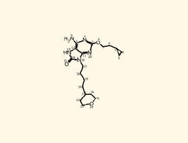 Nc1nc(OCCC2CC2)nc2c1[nH]c(=O)n2CCCCC1CCOCC1